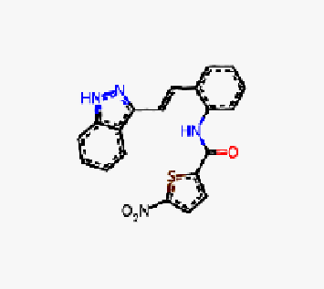 O=C(Nc1ccccc1C=Cc1n[nH]c2ccccc12)c1ccc([N+](=O)[O-])s1